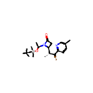 Cc1ccc(C(=S)[C@H](C)C2CC(=O)N2C(C)O[Si](C)(C)C(C)(C)C)nc1